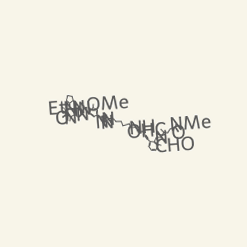 CC[C@@H]1C(=O)N(C)c2cnc(Nc3ccc(-c4cn(CCCCCCNCCC#Cc5cccc(C=O)c5CN(C)C(C=O)CCC(=O)NC)nn4)cc3OC)nc2N1C1CCCC1